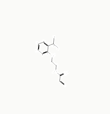 C=CC(=O)OCCOc1ccccc1C(C)C